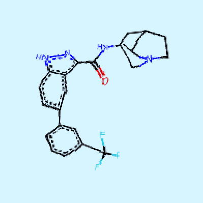 CC1C2CCN1CC(NC(=O)c1n[nH]c3ccc(-c4cccc(C(F)(F)F)c4)cc13)C2